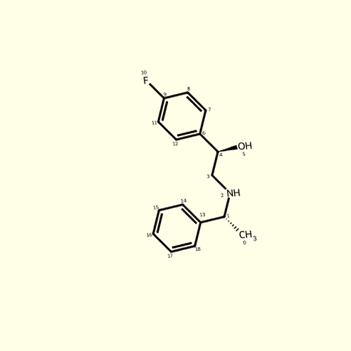 C[C@@H](NC[C@H](O)c1ccc(F)cc1)c1ccccc1